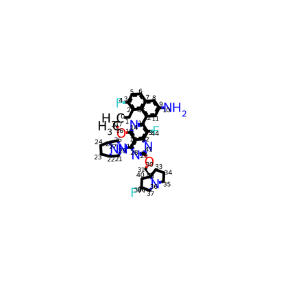 CCc1c(F)ccc2cc(N)cc(-c3nc(OC)c4c(N5CC6CCC(C5)N6)nc(OC[C@@]56CCCN5C[C@H](F)C6)nc4c3F)c12